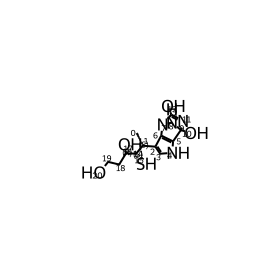 C[C@@H](c1c[nH]c2c1N1NC2(O)N=C1O)[C@H](S)[C@H](O)CCO